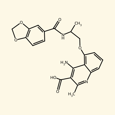 Cc1nc2cccc(OCC(C)NC(=O)c3ccc4c(c3)OCO4)c2c(N)c1C(=O)O